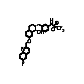 O=S(=O)(Nc1cccc(C[C@H]2CCc3ccc(OCc4ccc5cc(F)ccc5n4)cc3[C@H]2O)c1)C(F)(F)F